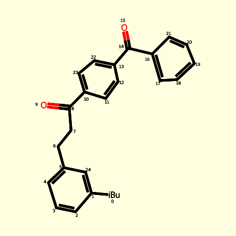 CCC(C)c1cccc(CCC(=O)c2ccc(C(=O)c3ccccc3)cc2)c1